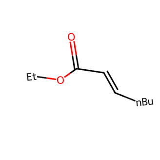 CCCCC=CC(=O)OCC